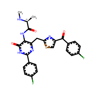 CN[C@@H](C)C(=O)Nc1c(Cc2nc(C(=O)c3ccc(F)cc3)cs2)nc(-c2ccc(F)cc2)[nH]c1=O